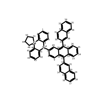 c1ccc2c(c1)N(c1ccc3c(-c4ccc5ccccc5c4)c4ccccc4c(-c4ccc5ccccc5c4)c3c1)c1ccccc1[Si]21CCCC1